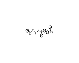 CC(=O)OOC(=O)CCCC=O